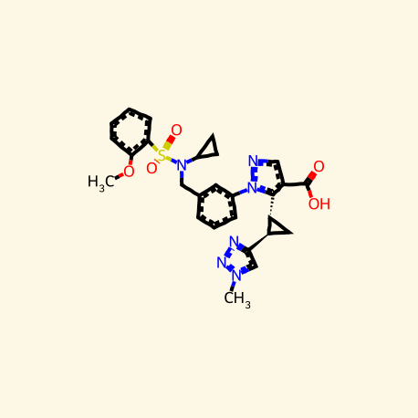 COc1ccccc1S(=O)(=O)N(Cc1cccc(-n2ncc(C(=O)O)c2[C@@H]2C[C@H]2c2cn(C)nn2)c1)C1CC1